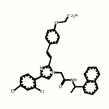 CC(NC(=O)Cn1cc(-c2ccc(Cl)cc2Cl)nc1C=Cc1ccc(OCC(=O)O)cc1)c1cccc2ccccc12